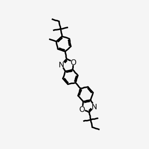 CCC(C)(C)c1nc2ccc(-c3ccc4nc(-c5ccc(C(C)(C)CC)c(C)c5)oc4c3)cc2o1